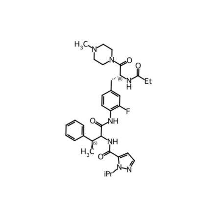 CCC(=O)N[C@H](Cc1ccc(NC(=O)C(NC(=O)c2ccnn2C(C)C)[C@@H](C)c2ccccc2)c(F)c1)C(=O)N1CCN(C)CC1